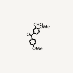 COc1ccc(C(=O)c2ccc(OC)c(C=O)c2)cc1